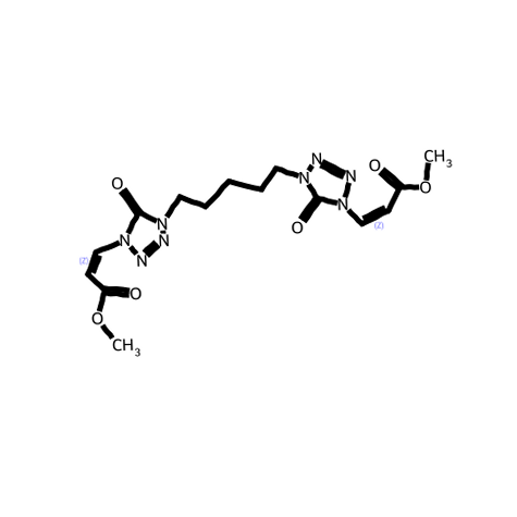 COC(=O)/C=C\n1nnn(CCCCCn2nnn(/C=C\C(=O)OC)c2=O)c1=O